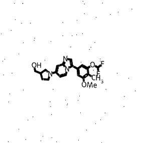 COc1cc(-c2cnc3cc(N4CCC(CO)C4)ccn23)cc(OC(F)F)c1C